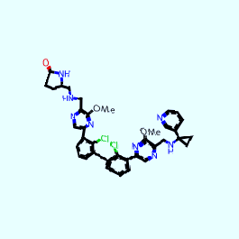 COc1nc(-c2cccc(-c3cccc(-c4cnc(CNC5(c6cccnc6)CC5)c(OC)n4)c3Cl)c2Cl)cnc1CNCC1CCC(=O)N1